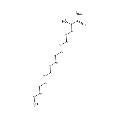 COC(=O)C(O)CCCCCCCCCCCCCCO